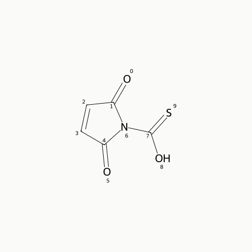 O=C1C=CC(=O)N1C(O)=S